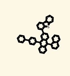 c1ccc(-c2ccc(-c3c4ccccc4c(-c4cccc5ccccc45)c4ccc(-c5cccc6c5sc5ccccc56)cc34)cc2)cc1